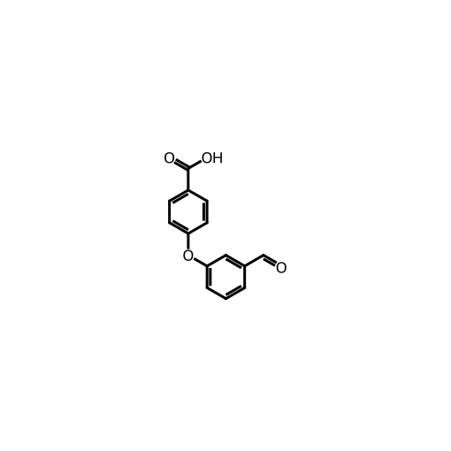 O=Cc1cccc(Oc2ccc(C(=O)O)cc2)c1